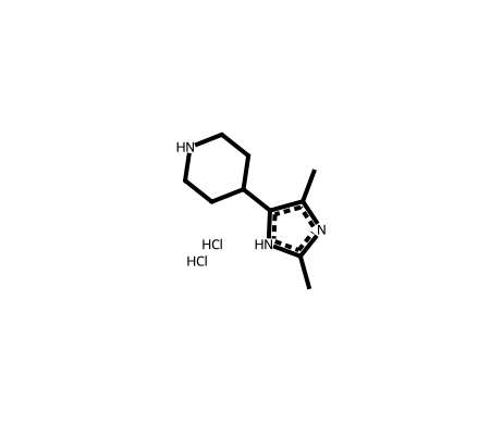 Cc1nc(C)c(C2CCNCC2)[nH]1.Cl.Cl